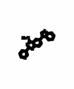 CNc1nc(-c2cccnc2)nc2ccc(-c3csc4ccccc34)cc12